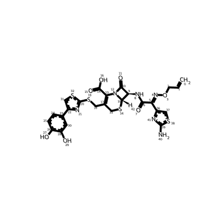 C=CCON=C(C(=O)N[C@@H]1C(=O)N2C(C(=O)O)=C(CSc3nc(-c4ccc(O)c(O)c4)cs3)CS[C@@H]12)c1csc(N)n1